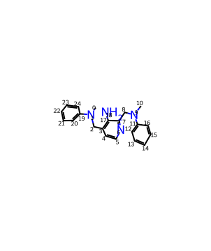 CN(Cc1ccnc(CN(C)c2ccccc2)c1N)c1ccccc1